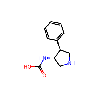 O=C(O)N[C@H]1CNC[C@@H]1c1ccccc1